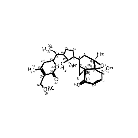 CCC[C@@]1(C)C(C2C[C@H]3O[C@]34[C@H](O)C=CC(=O)[C@@]43CC23)CCC1[C@H](C)C1CC(C)=C(COC(C)=O)C(=O)O1